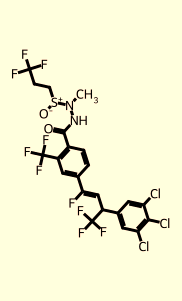 CN(NC(=O)c1ccc(/C(F)=C/C(c2cc(Cl)c(Cl)c(Cl)c2)C(F)(F)F)cc1C(F)(F)F)[S+]([O-])CCC(F)(F)F